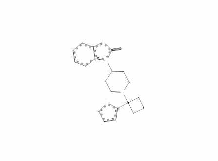 O=c1[nH]c2ccccc2n1C1CCN(C2(c3cccs3)CCC2)CC1